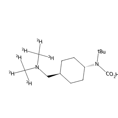 [2H]C([2H])([2H])N(C[C@H]1CC[C@H](N(C(=O)O)C(C)(C)C)CC1)C([2H])([2H])[2H]